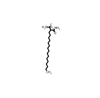 CCCCCCCCCCCCCCCCC(C(N)=O)C(C)N